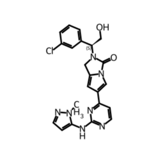 Cn1nccc1Nc1nccc(-c2cc3n(c2)C(=O)N([C@H](CO)c2cccc(Cl)c2)C3)n1